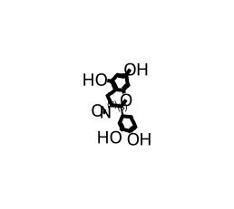 O=N[C@@H]1Cc2c(O)cc(O)cc2O[C@H]1C1C=C(O)C(O)=CC1